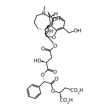 CN1CCC[C@]23c4c5ccc(CO)c4O[C@H]2C(OC(=O)C[C@H](O)C(=O)O[C@H](C(=O)O[C@@H](CC(=O)O)C(=O)O)c2ccccc2)=CC[C@@]3(O)[C@H]1C5